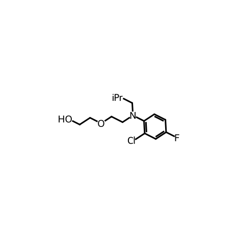 CC(C)CN(CCOCCO)c1ccc(F)cc1Cl